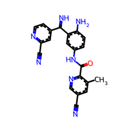 Cc1cc(C#N)cnc1C(=O)Nc1ccc(N)c(C(=N)c2ccnc(C#N)c2)c1